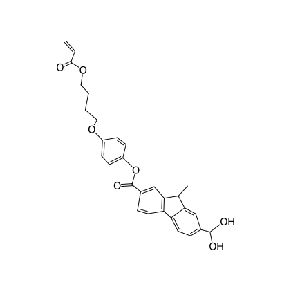 C=CC(=O)OCCCCOc1ccc(OC(=O)c2ccc3c(c2)C(C)c2cc(C(O)O)ccc2-3)cc1